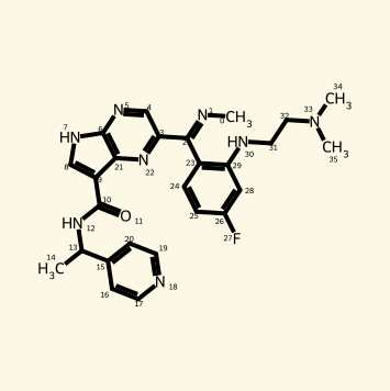 C/N=C(/c1cnc2[nH]cc(C(=O)NC(C)c3ccncc3)c2n1)c1ccc(F)cc1NCCN(C)C